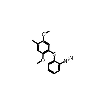 COc1cc(Sc2ccccc2[N+]#N)c(OC)cc1C